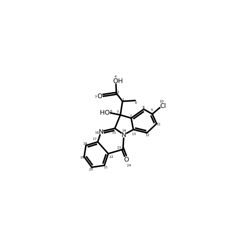 CC(C(=O)O)C1(O)c2cc(Cl)ccc2-n2c1nc1ccccc1c2=O